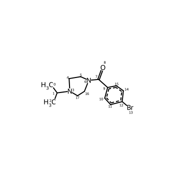 CC(C)N1CCN(C(=O)c2ccc(Br)cc2)CC1